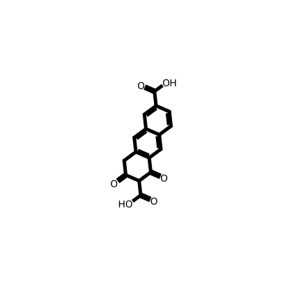 O=C(O)c1ccc2cc3c(cc2c1)CC(=O)C(C(=O)O)C3=O